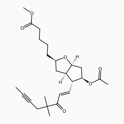 CC#CCC(C)(C)C(=O)C=C[C@@H]1[C@H]2C[C@@H](CCCCC(=O)OC)O[C@H]2C[C@H]1OC(C)=O